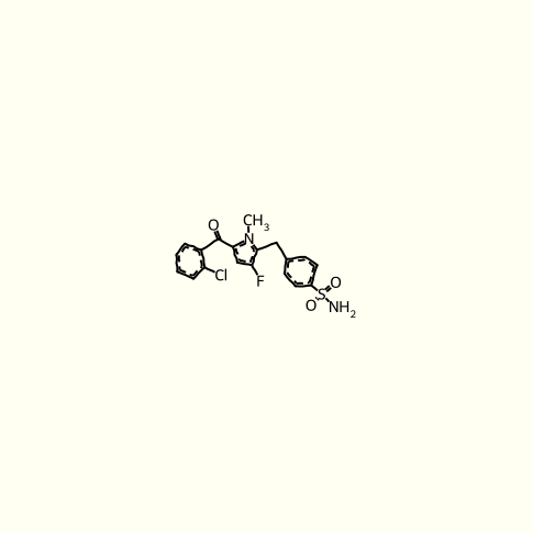 Cn1c(C(=O)c2ccccc2Cl)cc(F)c1Cc1ccc(S(N)(=O)=O)cc1